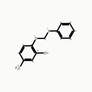 FC(F)(F)c1ccc(OCSc2ccccc2)c(Cl)c1